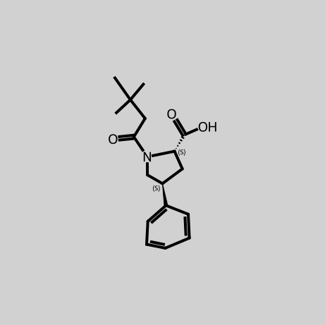 CC(C)(C)CC(=O)N1C[C@H](c2ccccc2)C[C@H]1C(=O)O